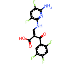 Nc1nc(N/C=C(/C(=O)O)C(=O)c2cc(F)c(F)cc2F)c(F)cc1F